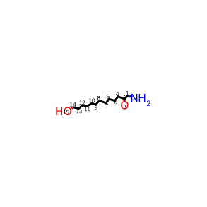 N[CH]C(=O)CCCCCCCCCCCO